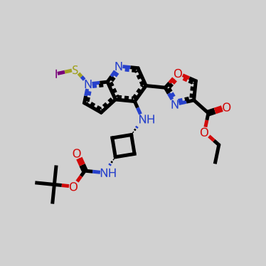 CCOC(=O)c1coc(-c2cnc3c(ccn3SI)c2N[C@H]2C[C@@H](NC(=O)OC(C)(C)C)C2)n1